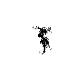 NCCCC[C@H](NC(=O)[C@H](CCC(N)=O)NC(=O)[C@@H]1CCCN1C(=O)CNC(=O)CNC(=O)[C@@H]1CCCN1C(=O)[C@H](Cc1c[nH]cn1)NC(=O)[C@@H](N)CCCCN)C(=O)O